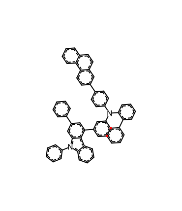 c1ccc(-c2cc(-c3cccc(N(c4ccc(-c5ccc6c(ccc7ccccc76)c5)cc4)c4ccccc4-c4ccccc4)c3)c3c4ccccc4n(-c4ccccc4)c3c2)cc1